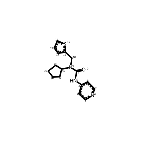 O=C(Nc1ccncc1)N(Cc1cccs1)C1CCCC1